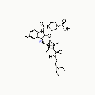 CCN(CC)CCNC(=O)c1c(C)[nH]c(/C=C2\C(=O)N(C(=O)N3CCN(C(=O)O)CC3)c3ccc(F)cc32)c1C